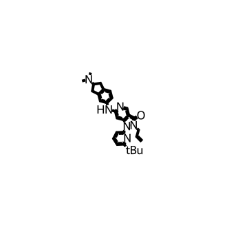 C=CCn1c(=O)c2cnc(Nc3ccc4c(c3)CC(N(C)C)C4)cc2n1-c1cccc(C(C)(C)C)n1